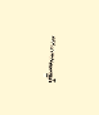 CCCCCCCCCCCCCCCCCCCCCCCCC=CNCCO